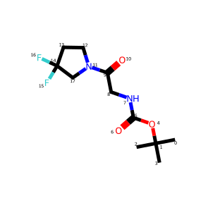 CC(C)(C)OC(=O)NCC(=O)N1CCC(F)(F)C1